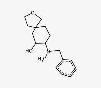 CN(Cc1ccccc1)C1CCC2(CCOC2)CC1O